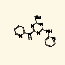 CC(C)(C)c1nc(Nc2ccccn2)nc(Nc2ccccn2)n1